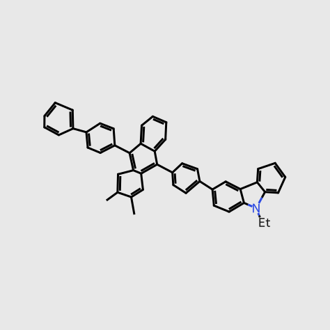 CCn1c2ccccc2c2cc(-c3ccc(-c4c5ccccc5c(-c5ccc(-c6ccccc6)cc5)c5cc(C)c(C)cc45)cc3)ccc21